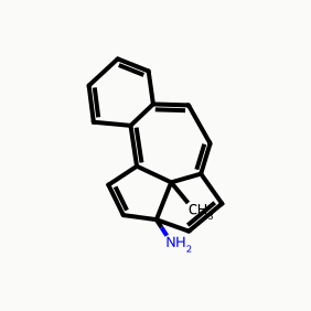 CC12C3=CC=c4ccccc4=C1C=CC2(N)C=C3